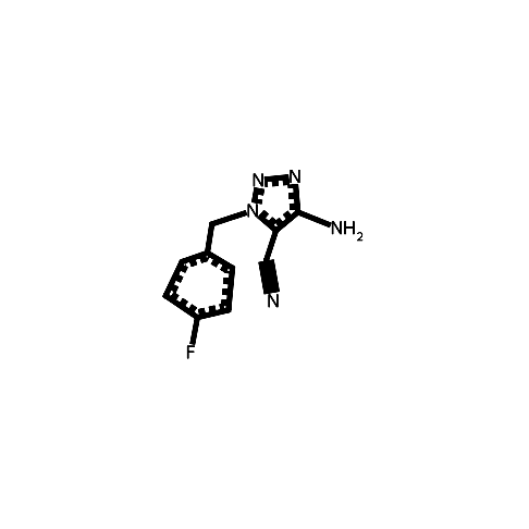 N#Cc1c(N)nnn1Cc1ccc(F)cc1